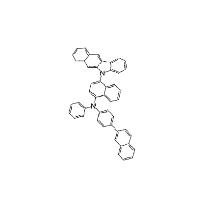 c1ccc(N(c2ccc(-c3ccc4ccccc4c3)cc2)c2ccc(-n3c4ccccc4c4cc5ccccc5cc43)c3ccccc23)cc1